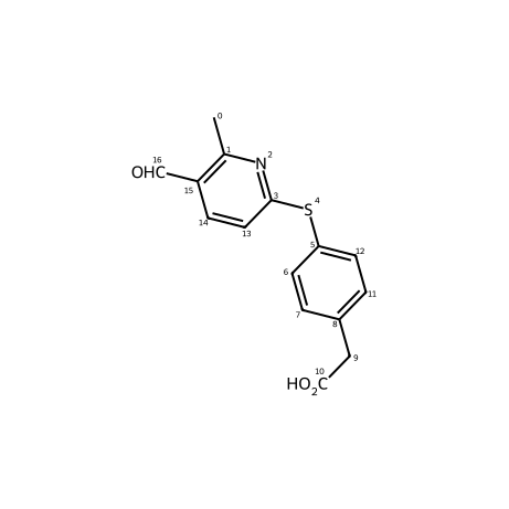 Cc1nc(Sc2ccc(CC(=O)O)cc2)ccc1C=O